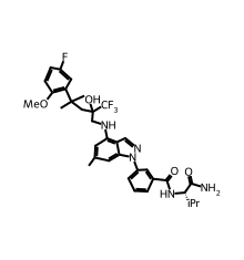 COc1ccc(F)cc1C(C)(C)CC(O)(CNc1cc(C)cc2c1cnn2-c1cccc(C(=O)N[C@H](C(N)=O)C(C)C)c1)C(F)(F)F